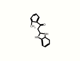 Cc1ccccc1C(=O)CC1NC2=CC=CCC2N1